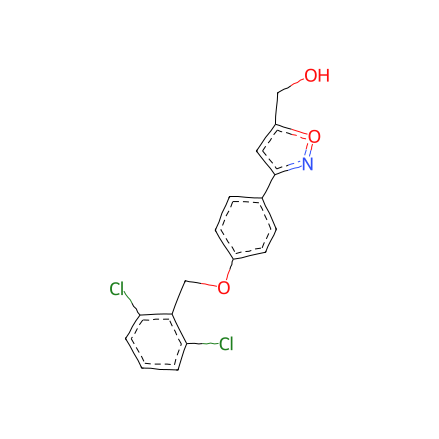 OCc1cc(-c2ccc(OCc3c(Cl)cccc3Cl)cc2)no1